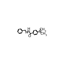 CN(C)c1ccc(C(=O)NN=Cc2ccccc2)cc1